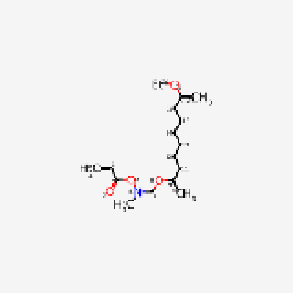 C=CC(=O)ON(C)COC(C)CCCCCCC(C)OCC